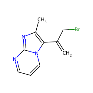 C=C(CBr)c1c(C)nc2ncccn12